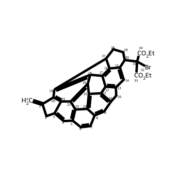 C=C1Cc2cc3ccc4cc5c6c7c(cc8c9c7c7c(c1c2c1c3c4c6c71)C9CCC8C(Br)(C(=O)OCC)C(=O)OCC)C5